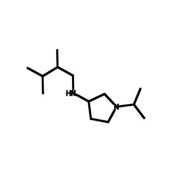 CC(C)C(C)CNC1CCN(C(C)C)C1